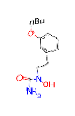 CCCCOc1cccc(CCN(O)C(N)=O)c1